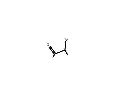 O=C(F)C(F)Br